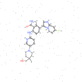 CC1(CO)CCN(c2ccc(Nc3ccc(-c4cnc5cc(F)ccn45)c4c3C(=O)NC4)nc2)CC1